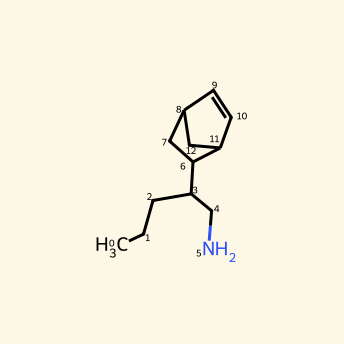 CCCC(CN)C1CC2C=CC1C2